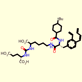 C=C/C=C\c1ccc(C[C@@H](NC(=O)C2CCC(C(C)(C)C)CC2)C(=O)NCCCCC(NC(=O)N[C@@H](CCC(=O)O)C(=O)O)C(=O)O)cc1C=C